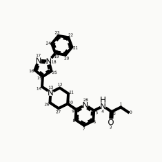 CCC(=O)Nc1cccc(C2CCN(Cc3cnn(-c4ccccc4)c3)CC2)n1